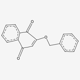 O=C1C=C(OCc2ccccc2)C(=O)c2ccccc21